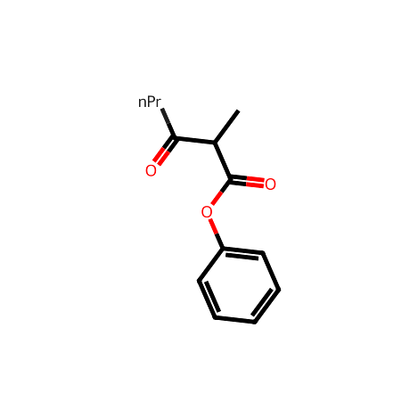 CCCC(=O)C(C)C(=O)Oc1ccccc1